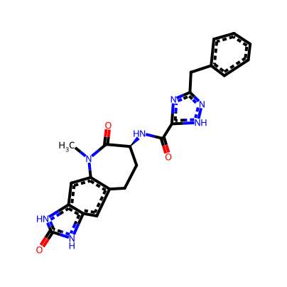 CN1C(=O)[C@@H](NC(=O)c2nc(Cc3ccccc3)n[nH]2)CCc2cc3[nH]c(=O)[nH]c3cc21